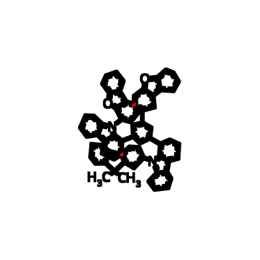 CC1(C)c2ccccc2-c2ccc(-n3c4ccccc4c4cccc(-c5cc(-c6ccc7oc8ccccc8c7c6)cc(-c6cccc7c8ccccc8n(-c8cccc9c8oc8ccccc89)c67)c5)c43)cc21